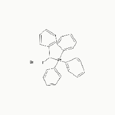 IC(c1ccccc1)[P+](c1ccccc1)(c1ccccc1)c1ccccc1.[Br-]